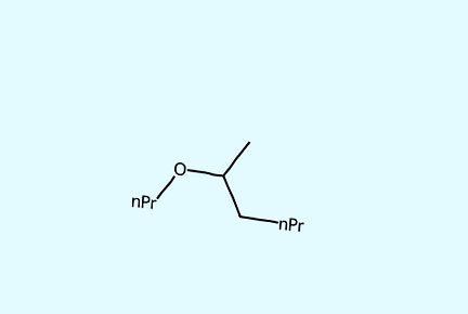 [CH2]CCOC(C)CCCC